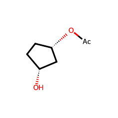 CC(=O)O[C@H]1CC[C@@H](O)C1